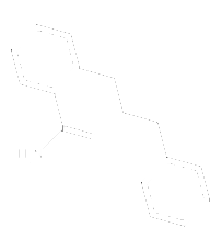 NC(=O)c1ccccc1C[CH]Cc1ccccc1